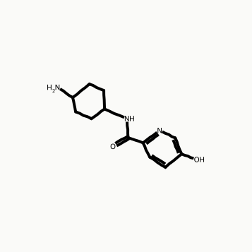 NC1CCC(NC(=O)c2ccc(O)cn2)CC1